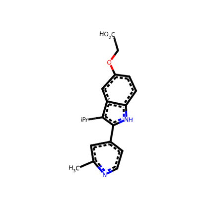 Cc1cc(-c2[nH]c3ccc(OCC(=O)O)cc3c2C(C)C)ccn1